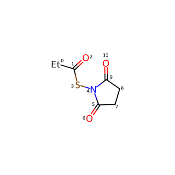 CCC(=O)SN1C(=O)CCC1=O